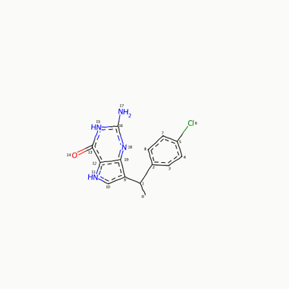 CC(c1ccc(Cl)cc1)c1c[nH]c2c(=O)[nH]c(N)nc12